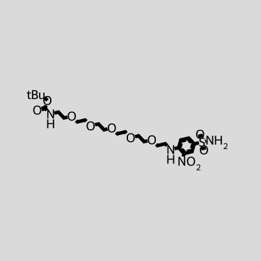 CC(C)(C)OC(=O)NCCOCCOCCOCCOCCOCCNc1ccc(S(N)(=O)=O)cc1[N+](=O)[O-]